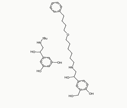 CC(C)(C)NCC(O)c1cc(O)cc(O)c1.OCc1cc(C(O)CNCCCCCCOCCCCc2ccccc2)ccc1O